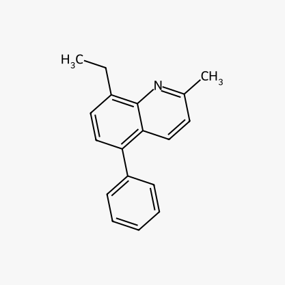 CCc1ccc(-c2ccccc2)c2ccc(C)nc12